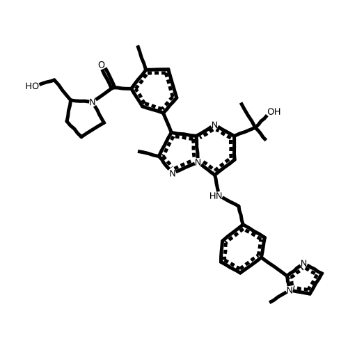 Cc1ccc(-c2c(C)nn3c(NCc4cccc(-c5nccn5C)c4)cc(C(C)(C)O)nc23)cc1C(=O)N1CCCC1CO